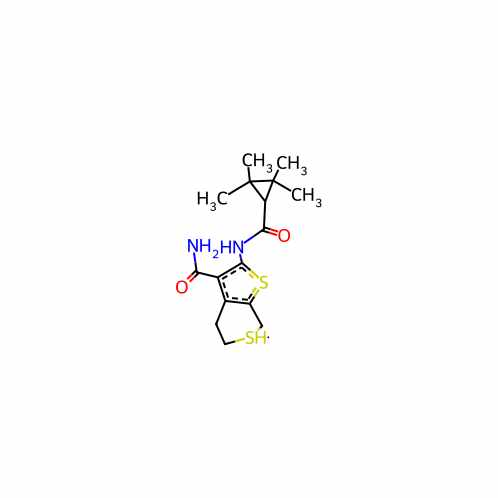 CC1(C)C(C(=O)Nc2sc3c(c2C(N)=O)CC[SH]C3)C1(C)C